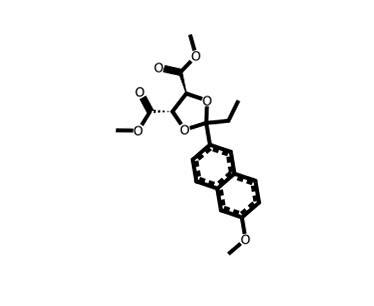 CCC1(c2ccc3cc(OC)ccc3c2)O[C@H](C(=O)OC)[C@@H](C(=O)OC)O1